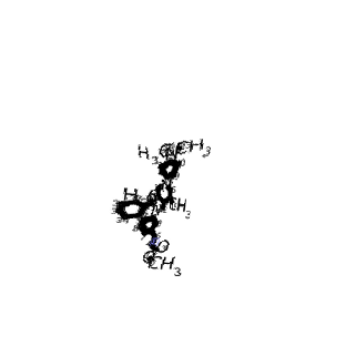 COC(=O)/C=C/c1cccc(N(CC2C(C)CN(c3ccc(N(C)C)cc3)CC2C)C(=O)C2CCCCC2)c1